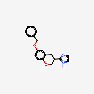 c1ccc(COc2ccc3c(c2)CC(c2ncc[nH]2)CO3)cc1